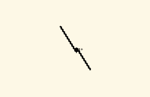 CCCCCCCCCCCCCCCCCCCc1cc[n+](CCCCCCCCCCCCCCCC)cc1